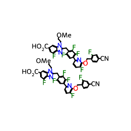 COCCn1c(Cc2c(F)cc(-c3ccc(F)c(OCc4ccc(C#N)cc4F)n3)c(F)c2F)nc2c(F)cc(C(=O)O)cc21.COCCn1c(Cc2c(F)cc(-c3ccc(F)c(OCc4ccc(C#N)cc4F)n3)c(F)c2F)nc2c(F)cc(C(=O)O)cc21